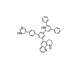 C1=NC=C(c2ccc(-c3cc(-c4cc5cccnc5c5c4CCCN5)cc(C4C=C(c5ccccc5)C=C(c5ccccc5)N4)c3)cc2)CN1